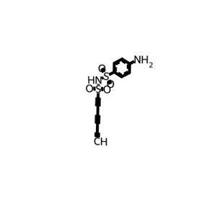 C#CC#CC#CS(=O)(=O)NS(=O)(=O)c1ccc(N)cc1